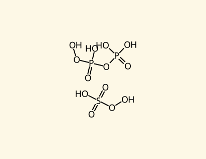 O=P(O)(O)OP(=O)(O)OO.O=S(=O)(O)OO